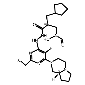 CCc1nc(NNC(=O)[C@@H](CC2CCCC2)CN(O)C=O)c(F)c(N2CCN3CCC[C@@H]3C2)n1